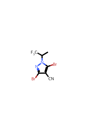 CC(n1nc(Br)c(C#N)c1Br)C(F)(F)F